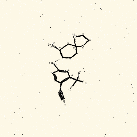 N#Cc1ccc(N[C@H]2CCC3(C[C@@H]2N)OCCO3)cc1C(F)(F)F